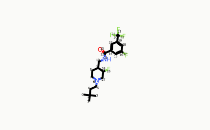 CC(C)(C)CCN1CCC(CNC(=O)c2cc(F)cc(C(F)(F)F)c2)C(F)C1